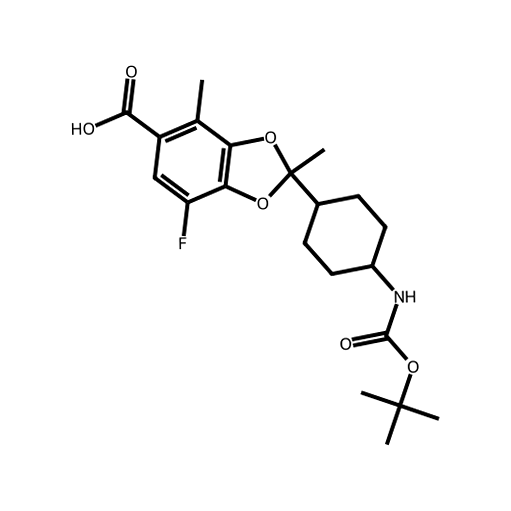 Cc1c(C(=O)O)cc(F)c2c1OC(C)(C1CCC(NC(=O)OC(C)(C)C)CC1)O2